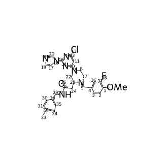 COc1ccc(CN2CCN(c3cc(Cl)nc(-n4ccnc4)n3)CC2CC(=O)NCc2ccc(C)cc2)cc1F